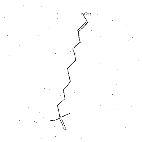 CCCCCCCCC=CCCCCCCCCP(C)(C)=O